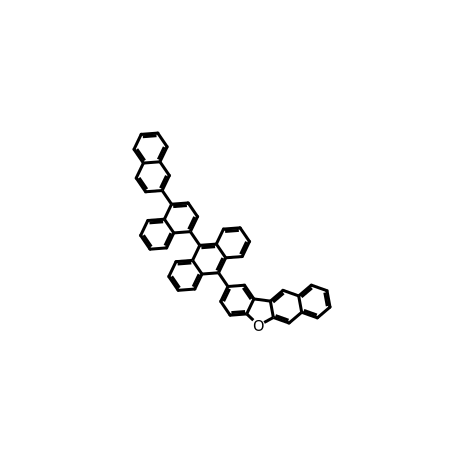 c1ccc2cc(-c3ccc(-c4c5ccccc5c(-c5ccc6oc7cc8ccccc8cc7c6c5)c5ccccc45)c4ccccc34)ccc2c1